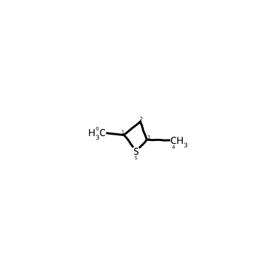 CC1[CH]C(C)S1